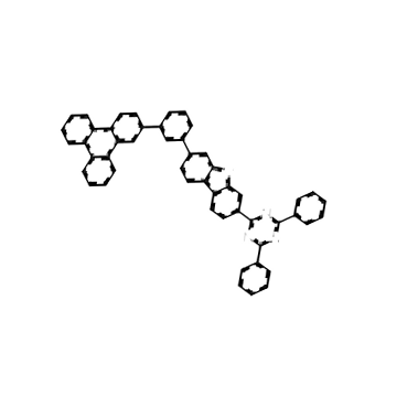 c1ccc(-c2nc(-c3ccccc3)nc(-c3ccc4c(c3)oc3cc(-c5cccc(-c6ccc7c8ccccc8c8ccccc8c7c6)c5)ccc34)n2)cc1